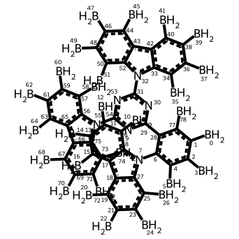 Bc1c(B)c(B)c(-n2c3c(B)c(B)c(B)c(B)c3c3c(B)c(B)c(B)c(B)c32)c(-c2nc(-n3c4c(B)c(B)c(B)c(B)c4c4c(B)c(B)c(B)c(B)c43)nc(-n3c4c(B)c(B)c(B)c(B)c4c4c(B)c(B)c(B)c(B)c43)n2)c1B